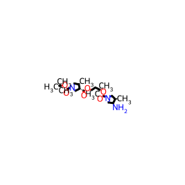 C[C@@H]1CN(C(=O)OC(C)(C)CCOC(=O)[C@@H]2CN(C(=O)OC(C)(C)C)C[C@H]2C)C[C@H]1N